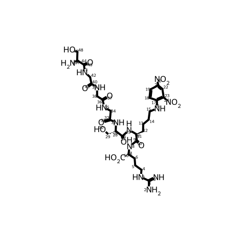 N=C(N)NCCC[C@@H](NC(=O)[C@H](CCCCNc1ccc([N+](=O)[O-])cc1[N+](=O)[O-])NC(=O)[C@H](CO)NC(=O)CNC(=O)CNC(=O)CNC(=O)[C@@H](N)CO)C(=O)O